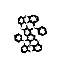 c1ccc(N2c3cccc4c3[SiH]3c5c(cccc5Oc5cc6c7c8c(cc6c2c53)Oc2cccc3c2[SiH]8c2c(cccc2N7c2ccccc2)O3)O4)cc1